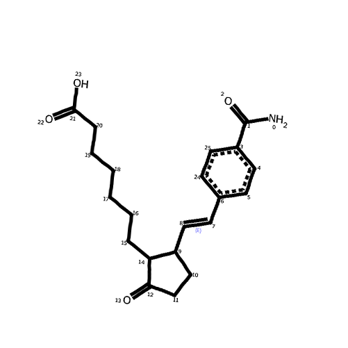 NC(=O)c1ccc(/C=C/C2CCC(=O)C2CCCCCCC(=O)O)cc1